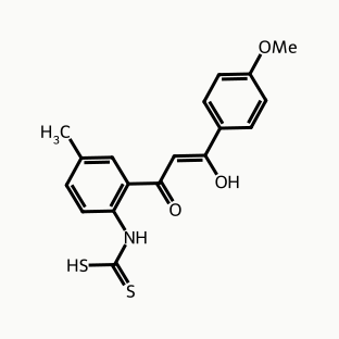 COc1ccc(C(O)=CC(=O)c2cc(C)ccc2NC(=S)S)cc1